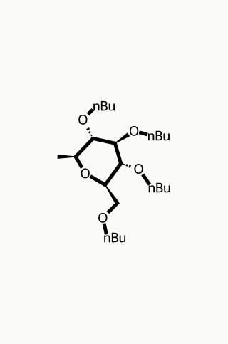 CCCCOC[C@H]1O[C@@H](C)[C@H](OCCCC)[C@@H](OCCCC)[C@@H]1OCCCC